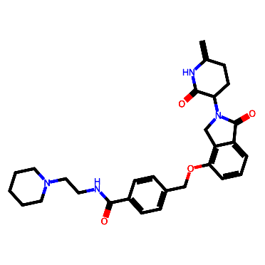 C=C1CCC(N2Cc3c(OCc4ccc(C(=O)NCCN5CCCCC5)cc4)cccc3C2=O)C(=O)N1